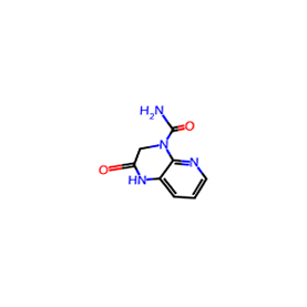 NC(=O)N1CC(=O)Nc2cccnc21